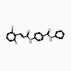 O=C(/C=C/c1c(F)cccc1F)Nc1ccc(C(=O)Nc2ccccc2)cc1